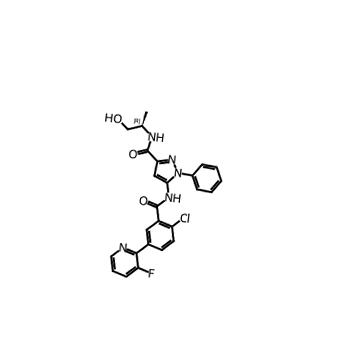 C[C@H](CO)NC(=O)c1cc(NC(=O)c2cc(-c3ncccc3F)ccc2Cl)n(-c2ccccc2)n1